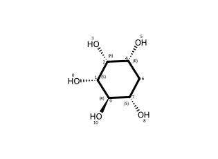 O[C@@H]1[C@H](O)[C@H](O)C[C@H](O)[C@H]1O